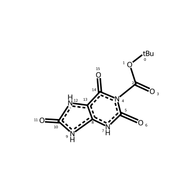 CC(C)(C)OC(=O)n1c(=O)[nH]c2[nH]c(=O)[nH]c2c1=O